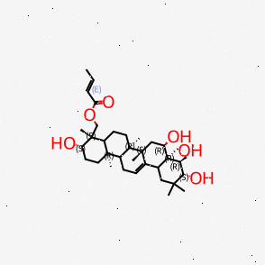 C/C=C/C(=O)OC[C@]1(C)C2CC[C@]3(C)C(CC=C4C5CC(C)(C)[C@@H](O)[C@H](C)[C@]5(CO)[C@H](O)C[C@]43C)[C@@]2(C)CC[C@@H]1O